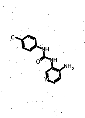 Nc1ccncc1NC(=O)Nc1ccc(Cl)cc1